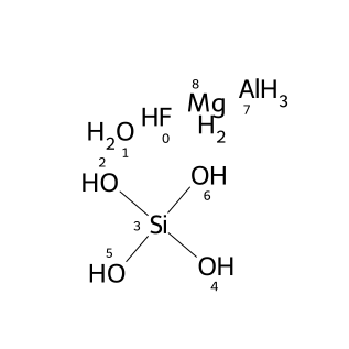 F.O.O[Si](O)(O)O.[AlH3].[MgH2]